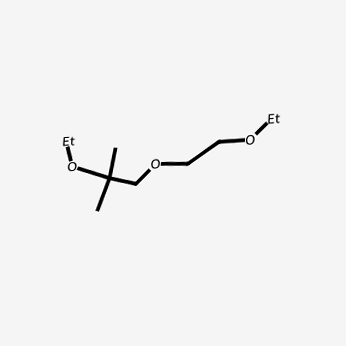 CCOCCOCC(C)(C)OCC